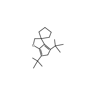 CC(C)(C)C1=C2OCC3(CCCC3)C2=C(C(C)(C)C)C1